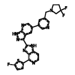 Fc1ccc(-c2nccc3[nH]c(-c4n[nH]c5ncc(-c6cncc(CN7CCC(F)(F)C7)c6)cc45)nc23)s1